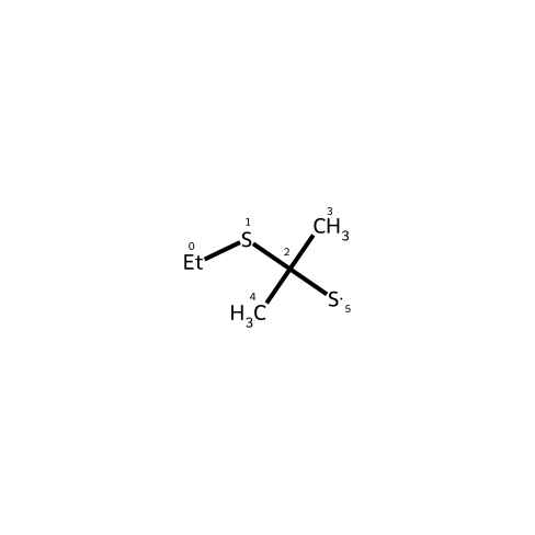 CCSC(C)(C)[S]